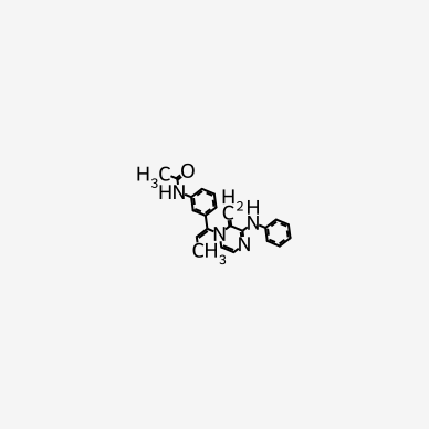 C=C1C(Nc2ccccc2)=NC=CN1/C(=C\C)c1cccc(NC(C)=O)c1